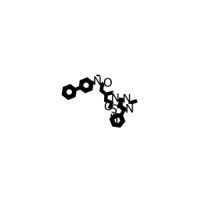 Cc1nc2c3c(n1)N1CC(CC(=O)N(C)c4ccc(-c5ccccc5)cc4)CC1[SH]3(=O)c1ccccc1-2